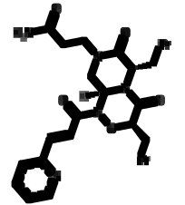 CC(C)C[C@H]1ON(C(=O)/C=C/c2ccccn2)[C@H]2CN(CCC(N)=O)C(=O)[C@H](CC(C)C)N2C1=O